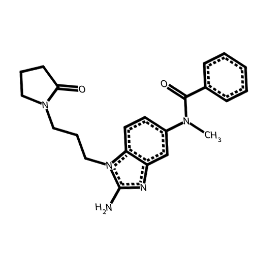 CN(C(=O)c1ccccc1)c1ccc2c(c1)nc(N)n2CCCN1CCCC1=O